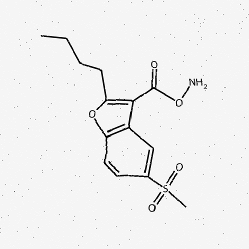 CCCCc1oc2ccc(S(C)(=O)=O)cc2c1C(=O)ON